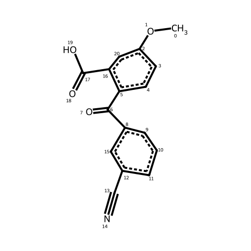 COc1ccc(C(=O)c2cccc(C#N)c2)c(C(=O)O)c1